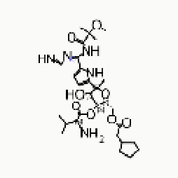 COC(C)(C)C(=O)N/C(=N/C=N)c1ccc([C@]2(C)O[C@H](COC(=O)CC3CCCC3)[C@@H](OC(=O)[C@@H](N)C(C)C)[C@H]2O)[nH]1